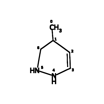 CC1C=CNNC1